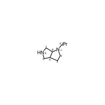 CC(C)N1CCC2CNCC21